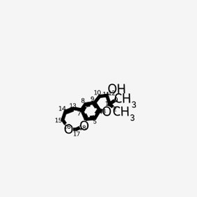 CC1(C)Oc2cc3c(cc2C[C@H]1O)/C=C\COCO3